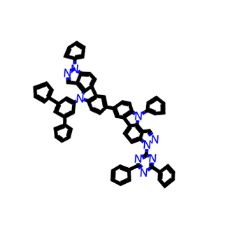 c1ccc(-c2cc(-c3ccccc3)cc(-n3c4ccc(-c5ccc6c(c5)c5ccc7c(cnn7-c7nc(-c8ccccc8)nc(-c8ccccc8)n7)c5n6-c5ccccc5)cc4c4ccc5c(cnn5-c5ccccc5)c43)c2)cc1